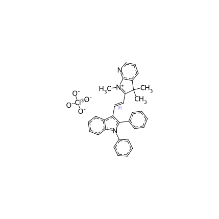 C[N+]1=C(/C=C/c2c(-c3ccccc3)n(-c3ccccc3)c3ccccc23)C(C)(C)c2cccnc21.[O-][Cl+3]([O-])([O-])[O-]